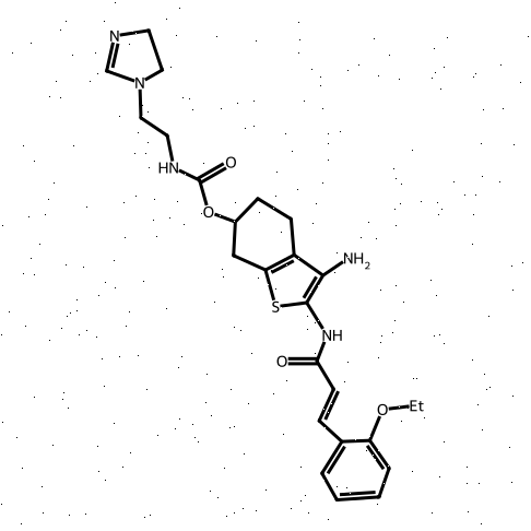 CCOc1ccccc1/C=C/C(=O)Nc1sc2c(c1N)CCC(OC(=O)NCCN1C=NCC1)C2